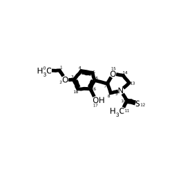 CCOc1ccc(C2CN(C(C)=S)CCO2)c(O)c1